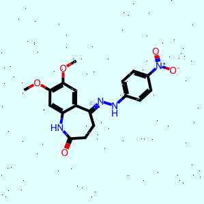 COc1cc2c(cc1OC)/C(=N/Nc1ccc([N+](=O)[O-])cc1)CCC(=O)N2